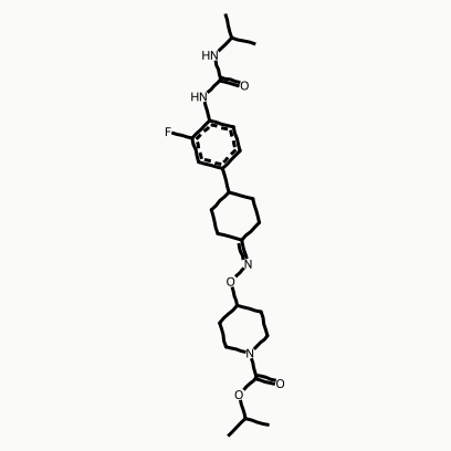 CC(C)NC(=O)Nc1ccc(C2CCC(=NOC3CCN(C(=O)OC(C)C)CC3)CC2)cc1F